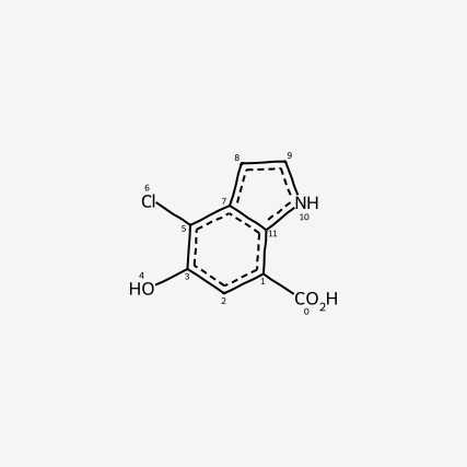 O=C(O)c1cc(O)c(Cl)c2cc[nH]c12